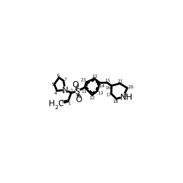 C=CC(N1CCCC1)S(=O)(=O)c1ccc(CC2CCNCC2)cc1